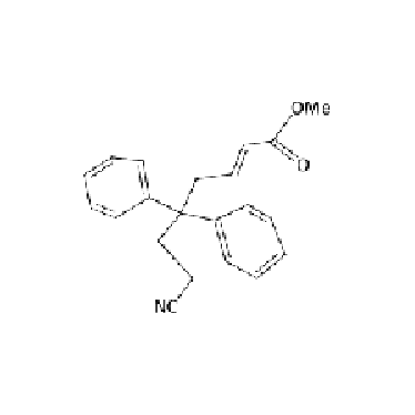 COC(=O)C=CCC(CCC#N)(c1ccccc1)c1ccccc1